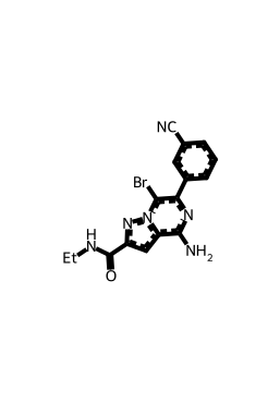 CCNC(=O)c1cc2c(N)nc(-c3cccc(C#N)c3)c(Br)n2n1